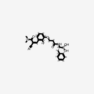 CN(C)C(=O)C(C#N)=Cc1cccc(OCCC(=O)N[C@@H](Cc2ccccc2)B(O)O)c1F